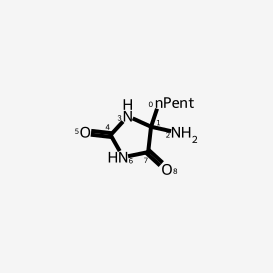 CCCCCC1(N)NC(=O)NC1=O